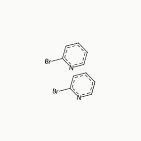 Brc1ccccn1.Brc1ccccn1